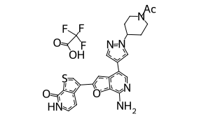 CC(=O)N1CCC(n2cc(-c3cnc(N)c4oc(-c5csc6c(=O)[nH]ccc56)cc34)cn2)CC1.O=C(O)C(F)(F)F